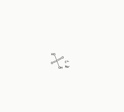 O=S(=O)(O)O.[C+4].[Na+]